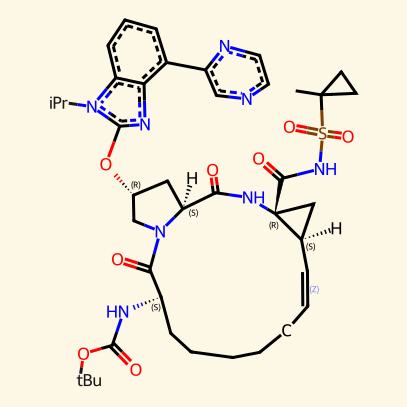 CC(C)n1c(O[C@@H]2C[C@H]3C(=O)N[C@]4(C(=O)NS(=O)(=O)C5(C)CC5)C[C@H]4/C=C\CCCCC[C@H](NC(=O)OC(C)(C)C)C(=O)N3C2)nc2c(-c3cnccn3)cccc21